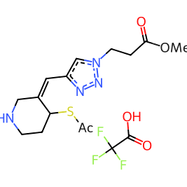 COC(=O)CCn1cc(C=C2CNCCC2SC(C)=O)nn1.O=C(O)C(F)(F)F